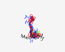 COc1cc(C(=O)NC2CCN(Cc3cn(CCCC(=O)Nc4cccc5c4C(=O)N(C4CCC(=O)NC4=O)C5=O)nn3)CC2)c(F)cc1Nc1ccc2c(c1)N(C1CCCC1)CC(F)(F)C(=O)N2C